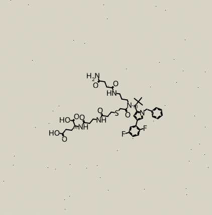 CC(C)(C)[C@H](c1cc(-c2cc(F)ccc2F)cn1Cc1ccccc1)N(CCCNC(=O)CCC(N)=O)C(=O)CSCCC(=O)NCCC(=O)N[C@@H](CCC(=O)O)C(=O)O